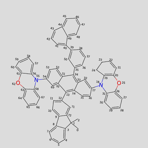 CC1(C)c2ccccc2-c2ccc(-c3c4ccc(N5C6=C(C=CCC6)Oc6ccccc65)cc4c(-c4cccc(-c5cccc6ccccc56)c4)c4ccc(N5c6ccccc6Oc6ccccc65)cc34)cc21